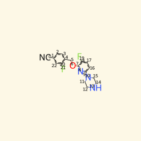 N#Cc1ccc(COc2nc(N3CCNCC3)ccc2F)c(F)c1